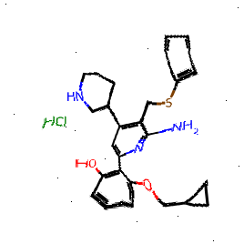 Cl.Nc1nc(-c2c(O)cccc2OCC2CC2)cc(C2CCCNC2)c1CSc1ccccc1